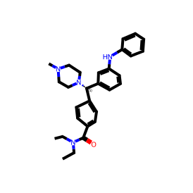 CCN(CC)C(=O)c1ccc([C@@H](c2cccc(Nc3ccccc3)c2)N2CCN(C)CC2)cc1